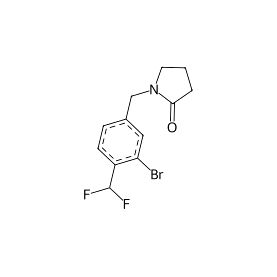 O=C1CCCN1Cc1ccc(C(F)F)c(Br)c1